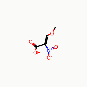 COC=C(C(=O)O)[N+](=O)[O-]